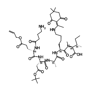 C=CCOC(=O)CC[C@H](NC(=O)CCCN)C(=O)N[C@@H](CC(=O)OC(C)(C)C)C(=O)N[C@@H](C)C(=O)N[C@@H](CCCCNC(C)=C1C(=O)CC(C)(C)CC1=O)C(=O)N(C)[C@H](C(=O)O)[C@@H](C)CC